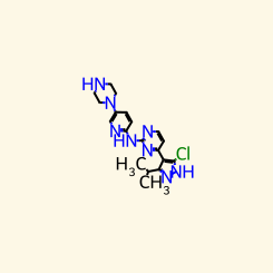 CC(C)c1n[nH]c(Cl)c1-c1ccnc(Nc2ccc(N3CCNCC3)cn2)n1